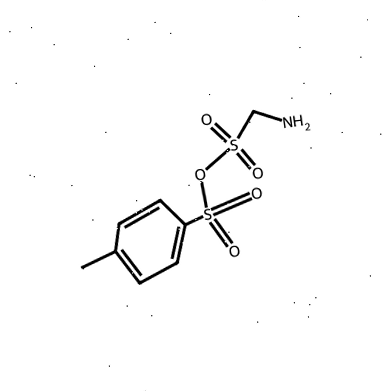 Cc1ccc(S(=O)(=O)OS(=O)(=O)CN)cc1